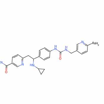 NC(=O)c1ccc(CC(NC2CC2)c2ccc(NC(=O)NCc3ccc([AsH2])nc3)cc2)nc1